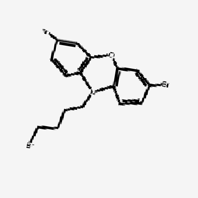 BrCCCCN1c2ccc(Br)cc2Oc2cc(Br)ccc21